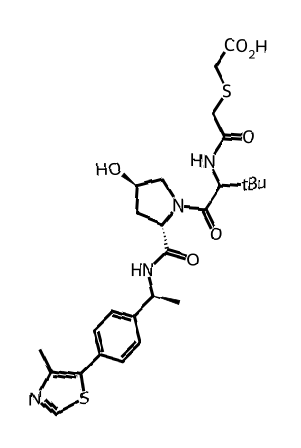 Cc1ncsc1-c1ccc([C@H](C)NC(=O)[C@@H]2C[C@@H](O)CN2C(=O)C(NC(=O)CSCC(=O)O)C(C)(C)C)cc1